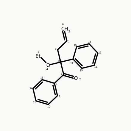 C=CCC(OCC)(C(=O)c1ccccc1)c1ccccc1